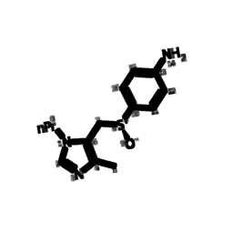 CCCn1cnc(C)c1C[S@+]([O-])c1ccc(N)cc1